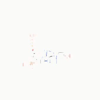 O=P1(O)O[C@@H]2[C@H](O1)[C@@H](COSOOO)O[C@H]2n1cnc2c(N[C@H]3CC[C@H](O)C3)ncnc21